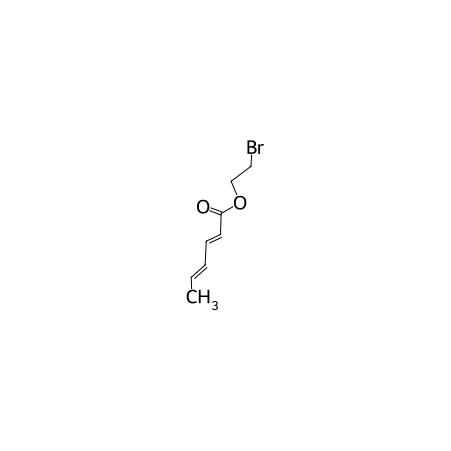 CC=CC=CC(=O)OCCBr